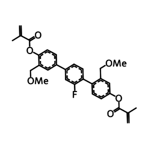 C=C(C)C(=O)Oc1ccc(-c2ccc(-c3ccc(OC(=O)C(=C)C)c(COC)c3)cc2F)c(COC)c1